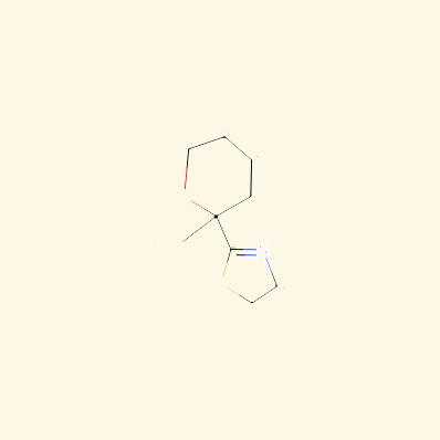 [SiH3]C1(C2=NCCS2)CCCCO1